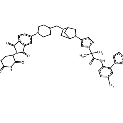 CC(C)(C(=O)Nc1ccc(C(F)(F)F)cc1-n1cccn1)n1cc(N2CC3CC2CC3CN2CCN(c3ccc4c(c3)C(=O)N(C3CCC(=O)NC3=O)C4=O)CC2)cn1